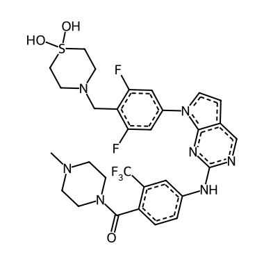 CN1CCN(C(=O)c2ccc(Nc3ncc4ccn(-c5cc(F)c(CN6CCS(O)(O)CC6)c(F)c5)c4n3)cc2C(F)(F)F)CC1